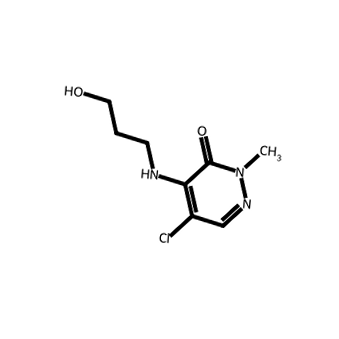 Cn1ncc(Cl)c(NCCCO)c1=O